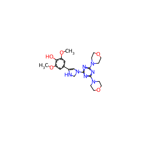 COc1cc(C2=CN(c3nc(N4CCOCC4)nc(N4CCOCC4)n3)CN2)cc(OC)c1O